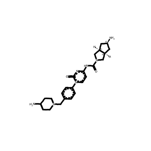 NC1CCN(Cc2ccc(-n3ccc(NC(=O)N4C[C@H]5C[C@@H](N)C[C@H]5C4)nc3=O)cc2)CC1